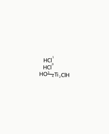 Cl.Cl.Cl.[OH][Ti]